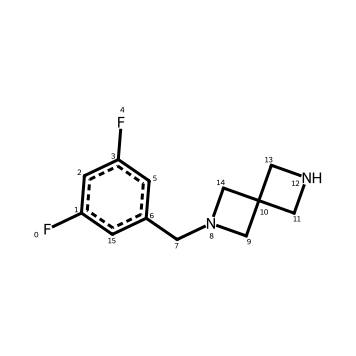 Fc1cc(F)cc(CN2CC3(CNC3)C2)c1